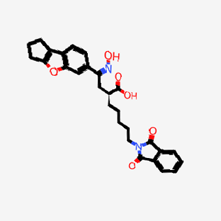 O=C(O)[C@@H](CCCCCN1C(=O)c2ccccc2C1=O)CC(=NO)c1ccc2c3c(oc2c1)CCC3